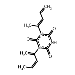 C=C/C=C(\C)n1c(=O)[nH]c(=O)n(C(=C)/C=C\C)c1=O